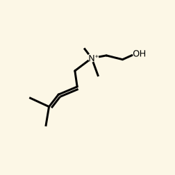 CC(C)=C=CC[N+](C)(C)CCO